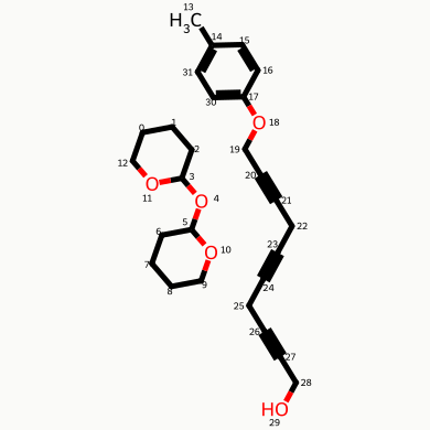 C1CCC(OC2CCCCO2)OC1.Cc1ccc(OCC#CCC#CCC#CCO)cc1